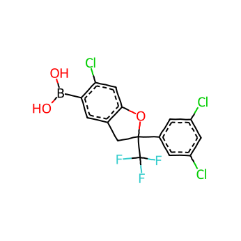 OB(O)c1cc2c(cc1Cl)OC(c1cc(Cl)cc(Cl)c1)(C(F)(F)F)C2